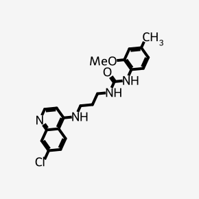 COc1cc(C)ccc1NC(=O)NCCCNc1ccnc2cc(Cl)ccc12